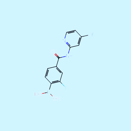 O=C(Nc1cc(C(F)(F)F)ccn1)c1ccc(B(O)O)c(F)c1